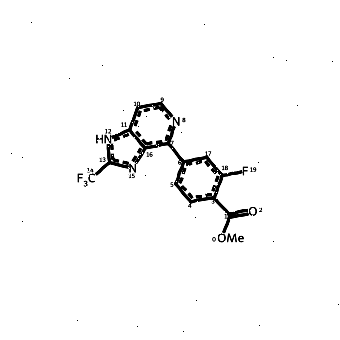 COC(=O)c1ccc(-c2nccc3[nH]c(C(F)(F)F)nc23)cc1F